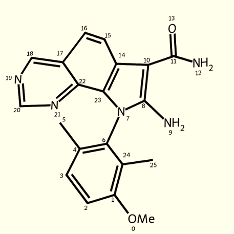 COc1ccc(C)c(-n2c(N)c(C(N)=O)c3ccc4cncnc4c32)c1C